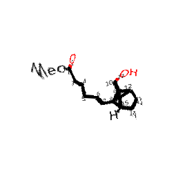 COC(=O)CCCC=CC1=C(CO)C2CC[C@H]1C2